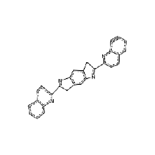 c1ccc2ccc(C3=Nc4cc5c(cc4C3)N=C(c3ccc4ccccc4n3)C5)nc2c#1